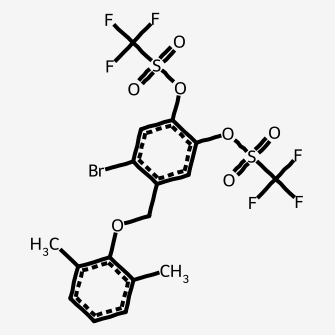 Cc1cccc(C)c1OCc1cc(OS(=O)(=O)C(F)(F)F)c(OS(=O)(=O)C(F)(F)F)cc1Br